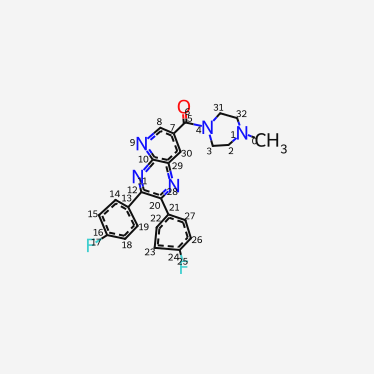 CN1CCN(C(=O)c2cnc3nc(-c4ccc(F)cc4)c(-c4ccc(F)cc4)nc3c2)CC1